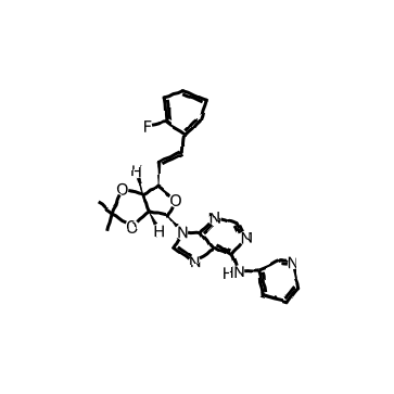 CC1(C)O[C@@H]2[C@H](O1)[C@@H](C=Cc1ccccc1F)O[C@H]2n1cnc2c(Nc3cccnc3)ncnc21